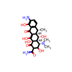 C[C@H]1c2ccc(N)c(O)c2C(=O)C2=C(O)[C@]3(O)C(=O)C(C(N)=O)C(O)[C@@H](N(C)C)[C@@H]3[C@@H](O)[C@@H]21